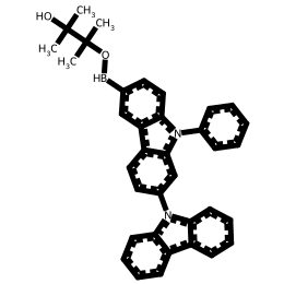 CC(C)(O)C(C)(C)OBc1ccc2c(c1)c1ccc(-n3c4ccccc4c4ccccc43)cc1n2-c1ccccc1